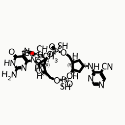 CC(C)(C)[Si](C)(C)O[C@H]1[C@H]2O[P@@](=O)(S)OC[C@H]3C[C@@H](Nc4ncncc4C#N)C[C@@H]3O[P@](=O)(S)OC[C@H]1O[C@H]2n1cnc2c(=O)[nH]c(N)nc21